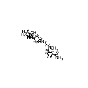 CN(CCCNCC1CCC(NS(=O)(=O)C(C)(C)C)CC1)Cc1cccc(C(N)=S)c1